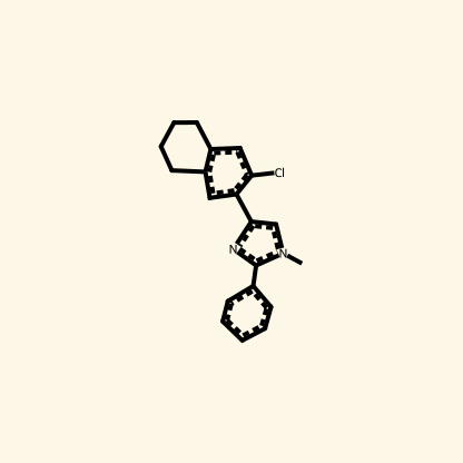 Cn1cc(-c2cc3c(cc2Cl)CCCC3)nc1-c1ccccc1